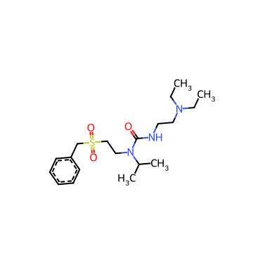 CCN(CC)CCNC(=O)N(CCS(=O)(=O)Cc1ccccc1)C(C)C